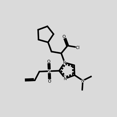 C=CCS(=O)(=O)c1nc(N(C)C)cn1C(CC1CCCC1)C(=O)Cl